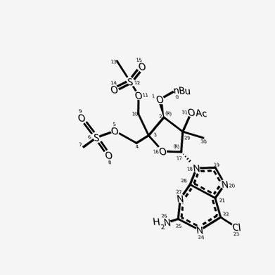 CCCCO[C@@H]1C(COS(C)(=O)=O)(COS(C)(=O)=O)O[C@@H](n2cnc3c(Cl)nc(N)nc32)C1(C)OC(C)=O